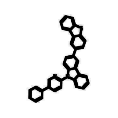 c1ccc(-c2ccc(-n3c4ccccc4c4cc(-c5ccc6sc7ccccc7c6c5)ccc43)nc2)cc1